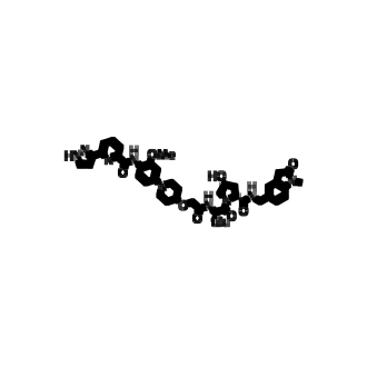 COc1cc(N2CCC(OCC(=O)N[C@@H](C(=O)N3C[C@@H](O)C[C@@H]3C(=O)NCc3ccc4c(c3)CC(=O)N4C)C(C)(C)C)CC2)ccc1NC(=O)c1cccc(-c2cc[nH]n2)n1